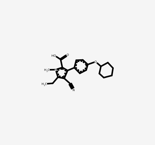 CCc1c(C#N)c(-c2ccc(OC3CCCCC3)cc2)c(C(=O)O)n1C